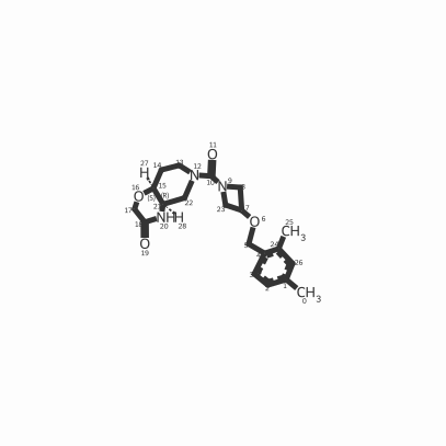 Cc1ccc(COC2CN(C(=O)N3CC[C@@H]4OCC(=O)N[C@@H]4C3)C2)c(C)c1